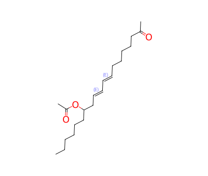 CCCCCCC(C/C=C/C=C/CCCCCC(C)=O)OC(C)=O